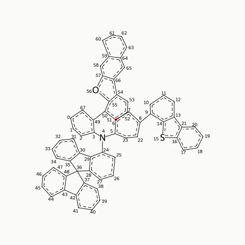 c1ccc(N(c2ccc(-c3cccc4c3sc3ccccc34)cc2)c2cccc3c2-c2ccccc2C32c3ccccc3-c3ccccc32)c(-c2cccc3c2oc2cc4ccccc4cc23)c1